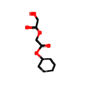 O=C(CO)OCC(=O)OC1CCCCC1